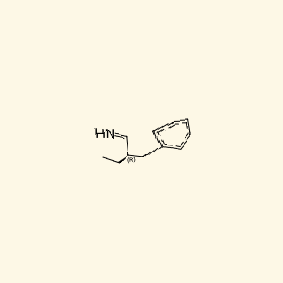 CC[C@@H](C=N)Cc1ccccc1